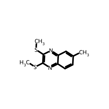 CSc1nc2ccc(C)cc2nc1SC